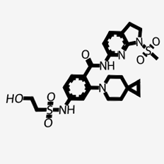 CS(=O)(=O)N1CCc2ccc(NC(=O)c3ccc(NS(=O)(=O)CCO)cc3N3CCC4(CC3)CC4)nc21